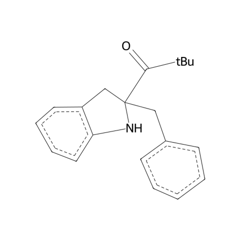 CC(C)(C)C(=O)C1(Cc2ccccc2)Cc2ccccc2N1